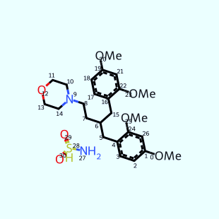 COc1ccc(CC(CCN2CCOCC2)Cc2ccc(OC)cc2OC)c(OC)c1.N[SH](=O)=O